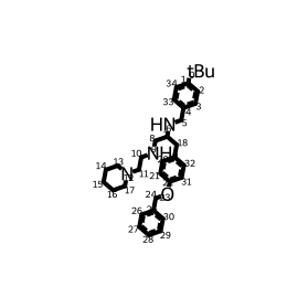 CC(C)(C)c1ccc(CNC(CNCCN2CCCCC2)Cc2ccc(OCc3ccccc3)cc2)cc1